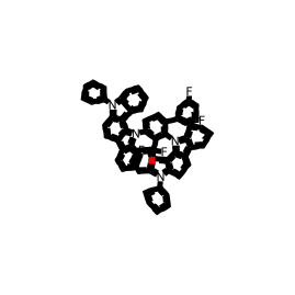 Fc1cc(F)cc(-c2ccc(-n3c4ccccc4c4ccc5c(c6ccccc6n5-c5ccccc5)c43)c(C(F)(F)F)c2-n2c3ccccc3c3ccc4c(c5ccccc5n4-c4ccccc4)c32)c1